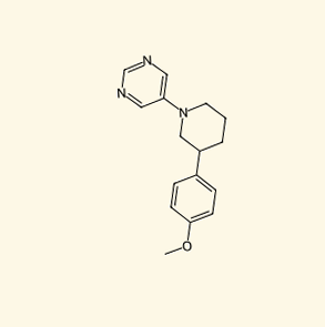 COc1ccc(C2CCCN(c3cncnc3)C2)cc1